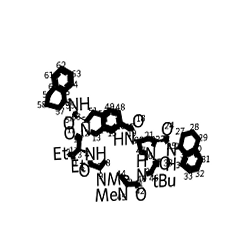 CCC(CC)[C@H](NC(=O)[C@H](C)NC)C(=O)N1Cc2cc(C(=O)N[C@H]3C[C@@H](C(=O)N[C@@H]4CCCc5ccccc54)N(C(=O)[C@@H](NC(=O)[C@H](C)NC)C(C)(C)C)C3)ccc2C[C@H]1C(=O)N[C@@H]1CCCc2ccccc21